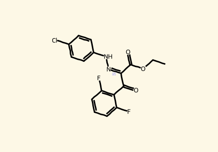 CCOC(=O)/C(=N\Nc1ccc(Cl)cc1)C(=O)c1c(F)cccc1F